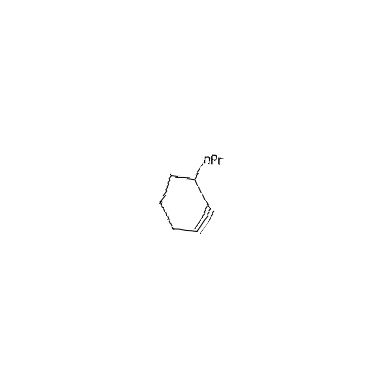 CCCC1C#CCCC1